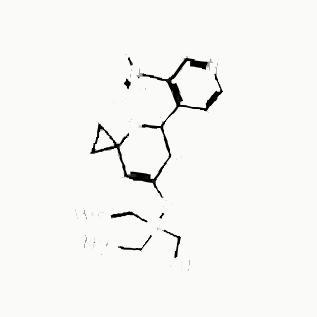 CC[Si](CC)(CC)OC1=CC2(CC2)OC(c2ccncc2[N+](=O)[O-])C1